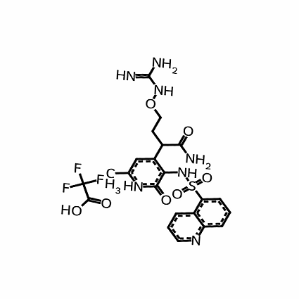 Cc1cc(C(CCONC(=N)N)C(N)=O)c(NS(=O)(=O)c2cccc3ncccc23)c(=O)[nH]1.O=C(O)C(F)(F)F